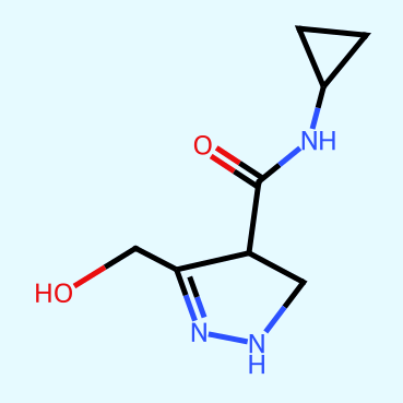 O=C(NC1CC1)C1CNN=C1CO